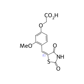 COc1cc(OCC(=O)O)ccc1/C=C1/SC(=O)NC1=O